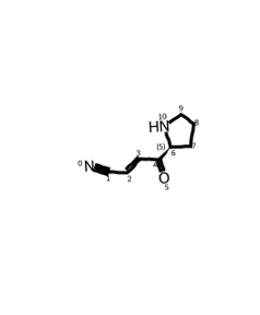 N#CC=CC(=O)[C@@H]1CCCN1